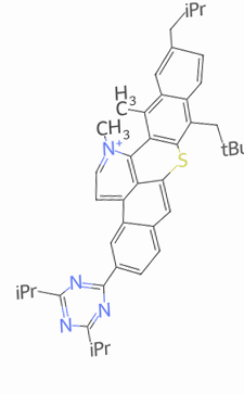 Cc1c2c(c(CC(C)(C)C)c3ccc(CC(C)C)cc13)Sc1cc3ccc(-c4nc(C(C)C)nc(C(C)C)n4)cc3c3cc[n+](C)c-2c13